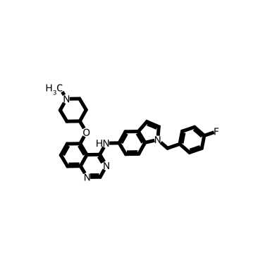 CN1CCC(Oc2cccc3ncnc(Nc4ccc5c(ccn5Cc5ccc(F)cc5)c4)c23)CC1